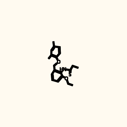 CCOc1cccc(COc2ccc(C)cc2C)c1NC(=S)CC